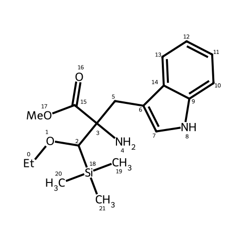 CCOC(C(N)(Cc1c[nH]c2ccccc12)C(=O)OC)[Si](C)(C)C